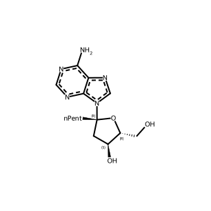 CCCCC[C@]1(n2cnc3c(N)ncnc32)C[C@H](O)[C@@H](CO)O1